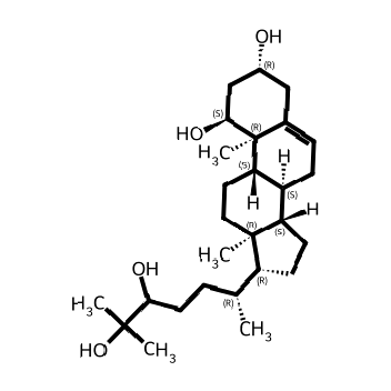 C[C@H](CCC(O)C(C)(C)O)[C@H]1CC[C@H]2[C@@H]3CC=C4C[C@@H](O)C[C@H](O)[C@]4(C)[C@H]3CC[C@]12C